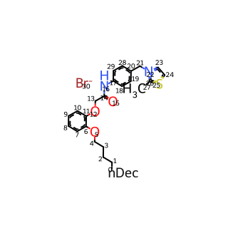 CCCCCCCCCCCCCCOc1ccccc1OCC(=O)Nc1ccc(C[n+]2ccsc2C)cc1.[Br-]